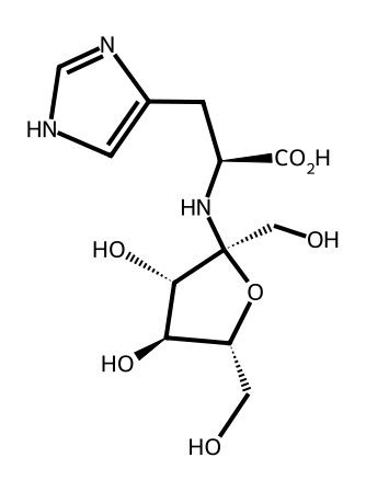 O=C(O)[C@H](Cc1c[nH]cn1)N[C@@]1(CO)O[C@H](CO)[C@@H](O)[C@@H]1O